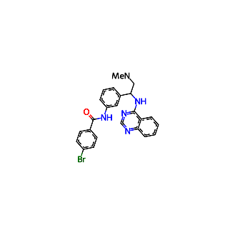 CNCC(Nc1ncnc2ccccc12)c1cccc(NC(=O)c2ccc(Br)cc2)c1